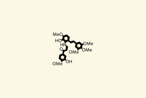 COc1ccc(C(=O)/C=C\Nc2c(C=Cc3cc(OC)c(OC)c(OC)c3)ccc(OC)c2O)cc1O